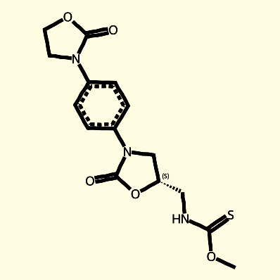 COC(=S)NC[C@H]1CN(c2ccc(N3CCOC3=O)cc2)C(=O)O1